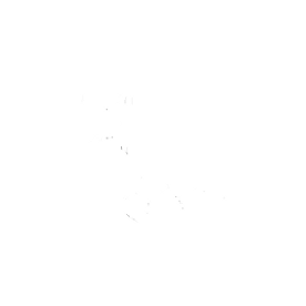 COC(=O)[C@@H]1CC2(CCN(C(=O)OC(C)(C)C)CC2)c2ccccc21